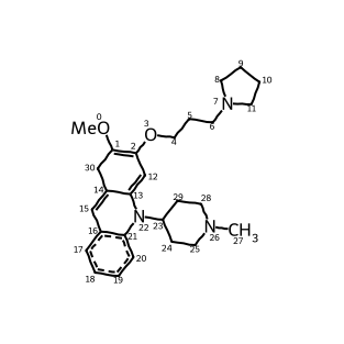 COC1=C(OCCCN2CCCC2)C=C2C(=Cc3ccccc3N2C2CCN(C)CC2)C1